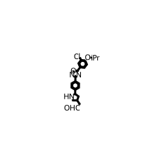 CC(C)Oc1ccc(-c2nc(-c3ccc(C4CC(CC=O)CN4)cc3)no2)cc1Cl